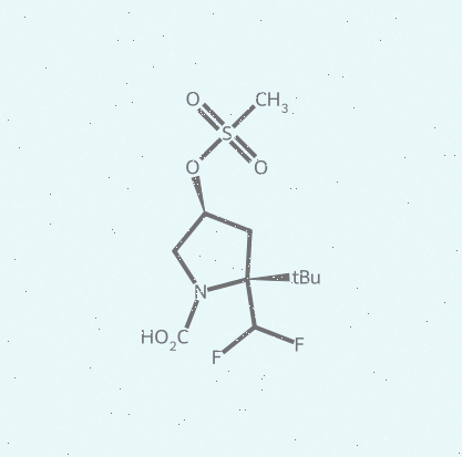 CC(C)(C)[C@]1(C(F)F)C[C@H](OS(C)(=O)=O)CN1C(=O)O